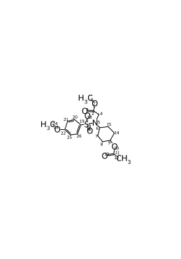 COC(=O)CN(C1CCC(OC(C)=O)CC1)S(=O)(=O)c1ccc(OC)cc1